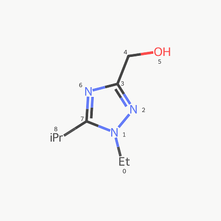 CCn1nc(CO)nc1C(C)C